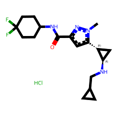 Cl.Cn1nc(C(=O)NC2CCC(F)(F)CC2)cc1[C@@H]1C[C@H]1NCC1CC1